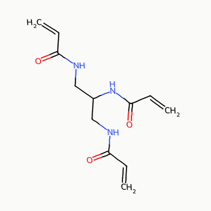 C=CC(=O)NCC(CNC(=O)C=C)NC(=O)C=C